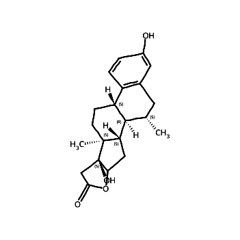 C[C@H]1Cc2cc(O)ccc2[C@H]2CC[C@@]3(C)[C@@H](CC4OC(=O)C[C@@]43O)[C@@H]21